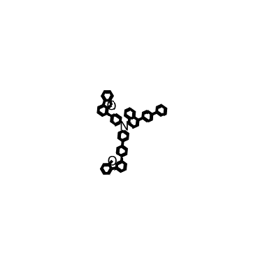 c1ccc(-c2ccc(-c3ccc(N(c4ccc(-c5ccc(-c6cccc7c6oc6ccccc67)cc5)cc4)c4ccc(-c5cccc6c5oc5ccccc56)cc4)c4ccccc34)cc2)cc1